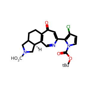 CC(C)(C)OC(=O)n1ccc(Cl)c1-c1cc(=O)c2c(cn1)[C@H]1CN(C(=O)O)CC1CC2